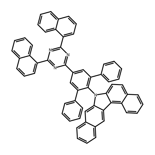 c1ccc(-c2cc(-c3nc(-c4cccc5ccccc45)nc(-c4cccc5ccccc45)n3)cc(-c3ccccc3)c2-n2c3cc4ccccc4cc3c3c4ccccc4ccc32)cc1